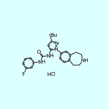 CC(C)(C)c1cc(NC(=O)Nc2cccc(F)c2)n(-c2ccc3c(c2)CCNCC3)n1.Cl